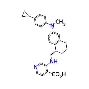 CN(c1ccc(C2CC2)cc1)c1ccc2c(c1)CCC[C@H]2CNc1cnccc1C(=O)O